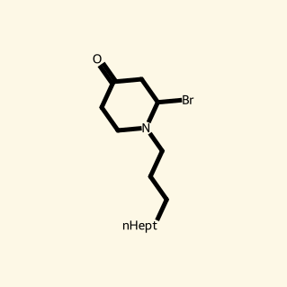 CCCCCCCCCCN1CCC(=O)CC1Br